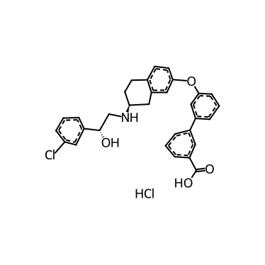 Cl.O=C(O)c1cccc(-c2cccc(Oc3ccc4c(c3)C[C@@H](NC[C@H](O)c3cccc(Cl)c3)CC4)c2)c1